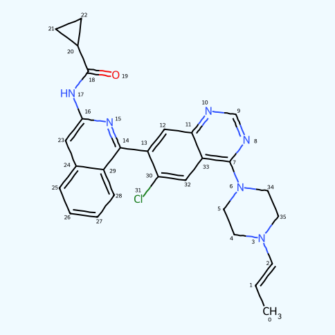 CC=CN1CCN(c2ncnc3cc(-c4nc(NC(=O)C5CC5)cc5ccccc45)c(Cl)cc23)CC1